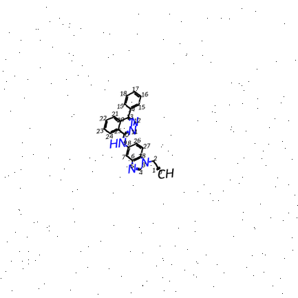 C#CCn1cnc2cc(Nc3nnc(-c4ccccc4)c4ccccc34)ccc21